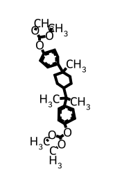 COC(OC)Oc1ccc(C2(C)CCC(C(C)(C)c3ccc(OC(OC)OC)cc3)CC2)cc1